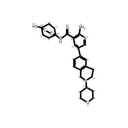 Nc1ncc(-c2ccc3c(c2)CCN(C2CCOCC2)C3)cc1C(=O)NC12CCC(O)(CC1)CC2